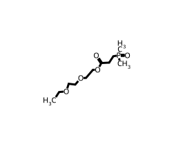 CCOCCOCCOC(=O)CCP(C)(C)=O